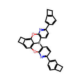 c1cc2c(cc1-c1ccc3c(n1)Oc1cc4c(c5c1B3c1ccc(-c3ccc6c(c3)CC6)nc1O5)CC4)CC2